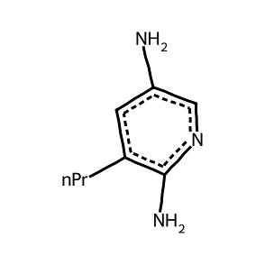 CCCc1cc(N)cnc1N